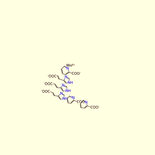 O=C([O-])C=Cc1c[nH]cn1.O=C([O-])C=Cc1c[nH]cn1.O=C([O-])C=Cc1c[nH]cn1.O=C([O-])c1ccccn1.O=C([O-])c1ccccn1.O=C([O-])c1ccccn1.[Mo+6]